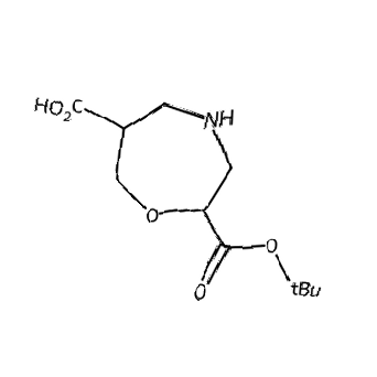 CC(C)(C)OC(=O)C1CNCC(C(=O)O)CO1